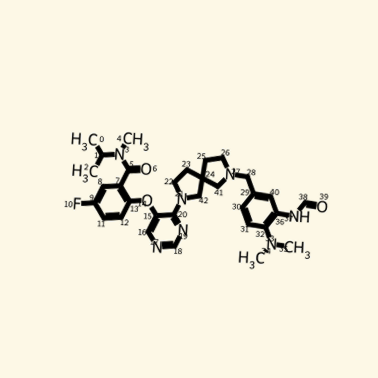 CC(C)N(C)C(=O)c1cc(F)ccc1Oc1cncnc1N1CCC2(CCN(Cc3ccc(N(C)C)c(NC=O)c3)C2)C1